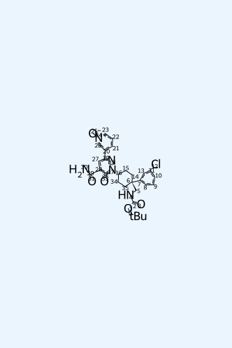 CC(C)(C)OC(=O)NC[C@]1(c2cccc(Cl)c2)CC[C@@H](n2nc(-c3ccc[n+]([O-])c3)cc(C(N)=O)c2=O)CC1